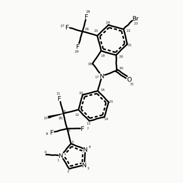 Cn1cnnc1C(F)(F)[C@](C)(F)c1cccc(N2Cc3c(cc(Br)cc3C(F)(F)F)C2=O)c1